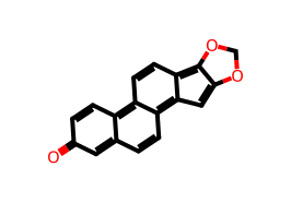 O=C1C=Cc2c(ccc3c4c(ccc23)=C2OCOC2=C4)=C1